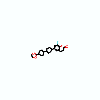 O=C1CCc2cc(C3CCC(C4CCC(C5OCCO5)CC4)CC3)cc(F)c2O1